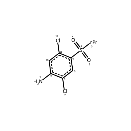 CCCS(=O)(=O)c1cc(Cl)c(N)cc1Cl